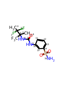 CC(F)(F)C(C)(NC(=O)Nc1cccc(S(N)(=O)=O)c1)C(F)(F)F